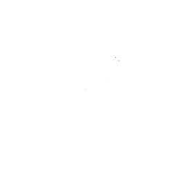 [CH2]CCC(=O)C1CCCN1